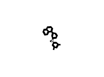 Cc1cc(C)cc(N(C)c2cccc(-c3cccc4ccccc34)c2)c1